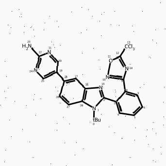 CC(C)(C)n1c(-c2ccccc2-c2noc(C(Cl)(Cl)Cl)n2)nc2cc(-c3cnc(N)nc3)ccc21